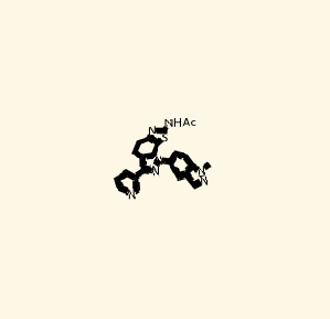 CC(=O)Nc1nc2c(s1)-c1c(c(-c3cccnc3)nn1-c1ccc3c(cnn3C)c1)CC2